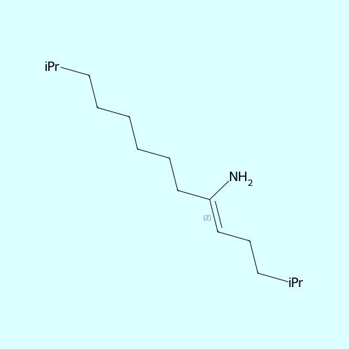 CC(C)CC/C=C(\N)CCCCCCC(C)C